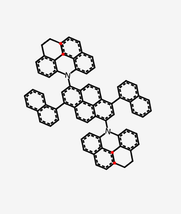 c1cc2c(c(N(c3cccc4ccccc34)c3cc(-c4cccc5ccccc45)c4ccc5c(N(c6cccc7c6CCCC7)c6cccc7ccccc67)cc(-c6cccc7ccccc67)c6ccc3c4c65)c1)CCCC2